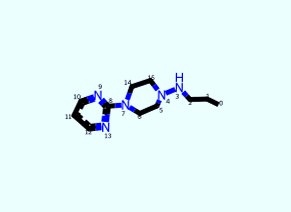 CCCNN1CCN(c2ncccn2)CC1